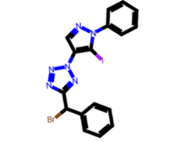 BrC(c1ccccc1)c1nnn(-c2cnn(-c3ccccc3)c2I)n1